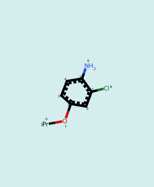 CC(C)Oc1ccc(N)c(Cl)c1